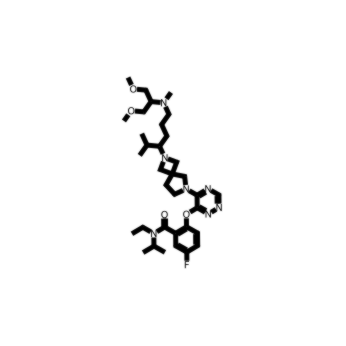 CCN(C(=O)c1cc(F)ccc1Oc1nncnc1N1CCC2(C1)CN(C(CCCN(C)C(COC)COC)C(C)C)C2)C(C)C